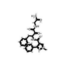 Cn1cc(C(=O)NC(Cc2ccccc2)C(=O)C(=O)NCC(N)=O)c(-c2ccccc2)n1